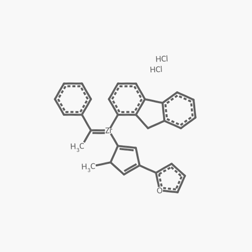 C/[C](c1ccccc1)=[Zr](\[C]1=CC(c2ccco2)=CC1C)[c]1cccc2c1Cc1ccccc1-2.Cl.Cl